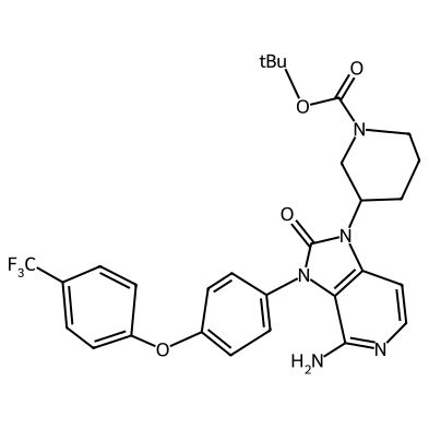 CC(C)(C)OC(=O)N1CCCC(n2c(=O)n(-c3ccc(Oc4ccc(C(F)(F)F)cc4)cc3)c3c(N)nccc32)C1